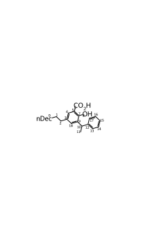 CCCCCCCCCCCCc1cc(C(=O)O)c(O)c(C(C)c2ccccc2)c1